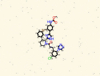 COC(=O)Nc1ccc(-c2c[nH]c([C@@H]3[C@H](c4ccccc4)CCCN3C(=O)/C=C/c3cc(Cl)ccc3-n3cnnc3)n2)c(Br)c1